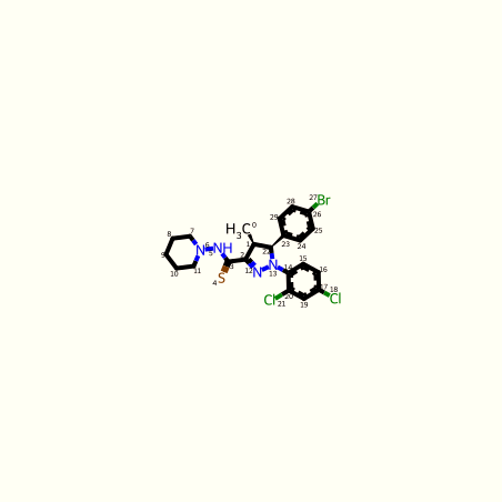 C[C@@H]1C(C(=S)NN2CCCCC2)=NN(c2ccc(Cl)cc2Cl)[C@@H]1c1ccc(Br)cc1